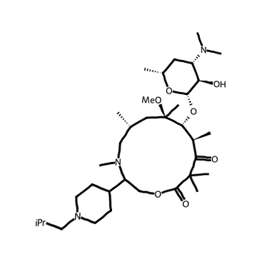 CO[C@]1(C)C[C@@H](C)CN(C)C(C2CCN(CC(C)C)CC2)COC(=O)C(C)(C)C(=O)[C@H](C)[C@H]1O[C@@H]1O[C@H](C)C[C@H](N(C)C)[C@H]1O